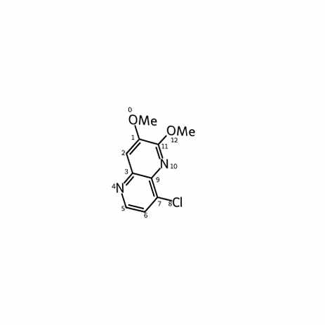 COc1cc2nccc(Cl)c2nc1OC